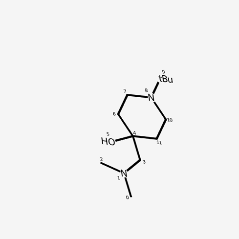 CN(C)CC1(O)CCN(C(C)(C)C)CC1